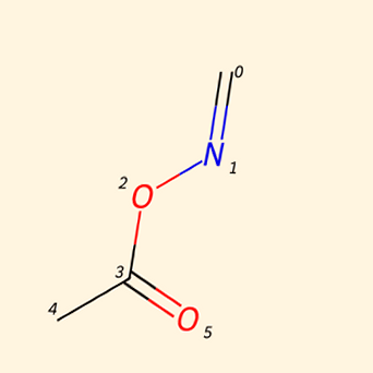 C=NOC(C)=O